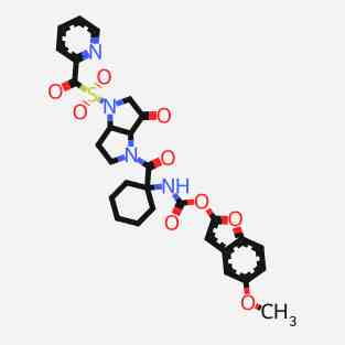 COc1ccc2oc(OC(=O)NC3(C(=O)N4CCC5C4C(=O)CN5S(=O)(=O)C(=O)c4ccccn4)CCCCC3)cc2c1